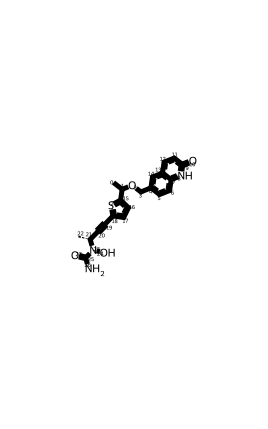 CC(OCc1ccc2[nH]c(=O)ccc2c1)c1ccc(C#C[C@@H](C)N(O)C(N)=O)s1